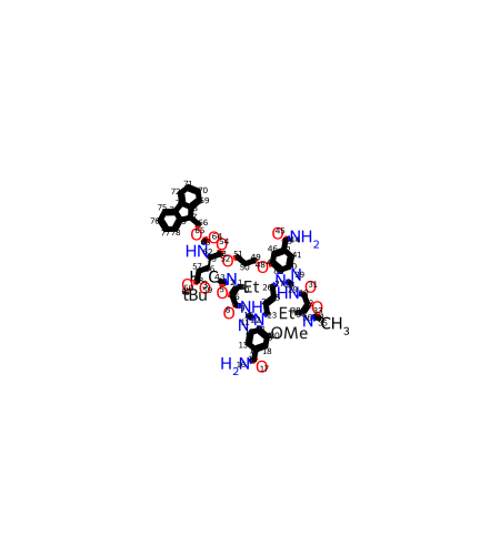 CCc1nc(C)oc1C(=O)Nc1nc2cc(C(N)=O)cc(OC)c2n1C/C=C/Cn1c(NC(=O)c2oc(C)nc2CC)nc2cc(C(N)=O)cc(OCCCOC(=O)[C@@H](CCC(=O)OC(C)(C)C)NC(=O)OCC3c4ccccc4-c4ccccc43)c21